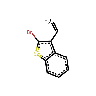 C=Cc1c(Br)sc2ccccc12